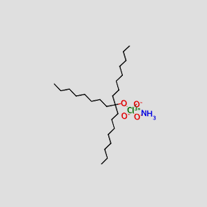 CCCCCCCCC(CCCCCCCC)(CCCCCCCC)O[Cl+3]([O-])([O-])[O-].N